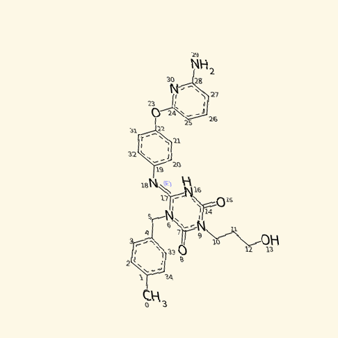 Cc1ccc(Cn2c(=O)n(CCCO)c(=O)[nH]/c2=N\c2ccc(Oc3cccc(N)n3)cc2)cc1